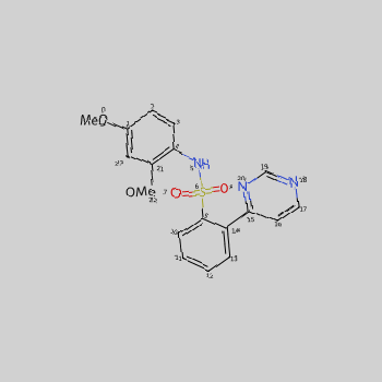 COc1ccc(NS(=O)(=O)c2ccccc2-c2ccncn2)c(OC)c1